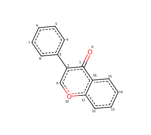 O=c1c(-c2ccccc2)coc2[c]cccc12